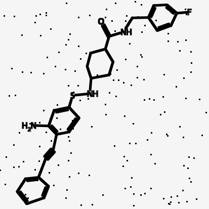 Nc1cc(SNC2CCC(C(=O)NCc3ccc(F)cc3)CC2)ccc1C#Cc1ccccc1